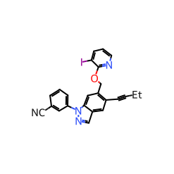 CCC#Cc1cc2cnn(-c3cccc(C#N)c3)c2cc1COc1ncccc1I